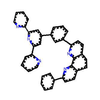 c1ccc(-c2ccc3ccc4ccc(-c5cccc(-c6cc(-c7ccccn7)nc(-c7ccccn7)c6)c5)nc4c3n2)cc1